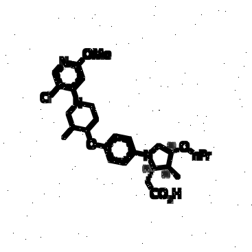 CCCO[C@H]1CN(c2ccc(OC3CCN(c4cc(OC)ncc4Cl)CC3C)cc2)[C@@H](CC(=O)O)[C@@H]1C